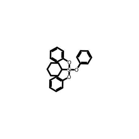 c1ccc(O[Si](Oc2ccccc2)(Oc2ccccc2)C2CCCCC2)cc1